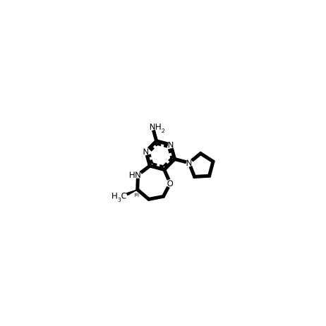 C[C@@H]1CCOc2c(nc(N)nc2N2CCCC2)N1